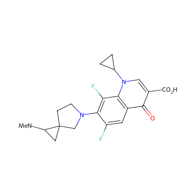 CNC1CC12CCN(c1c(F)cc3c(=O)c(C(=O)O)cn(C4CC4)c3c1F)C2